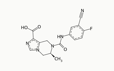 C[C@H]1Cn2cnc(C(=O)O)c2CN1C(=O)Nc1ccc(F)c(C#N)c1